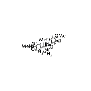 CNS(=O)(=O)c1ccc([C@@H]2[C@H](NC(=O)c3cc(Cl)c(OC)cc3OC)C2(C)C)cc1